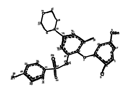 COc1ccc(Cl)c(Oc2c(C)nc(N3CCOCC3)nc2NS(=O)(=O)c2ccc(C(C)C)cn2)c1